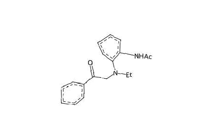 CCN(CC(=O)c1ccccc1)c1ccccc1NC(C)=O